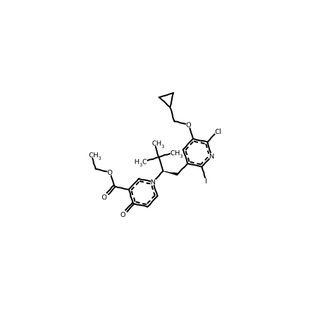 CCOC(=O)c1cn([C@H](Cc2cc(OCC3CC3)c(Cl)nc2I)C(C)(C)C)ccc1=O